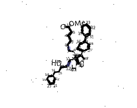 COC(=O)CCC/C=C\C[C@H]1[C@H](/C=C/[C@@H](O)CCc2ccccc2)[C@@H]2C[C@@]1(c1ccc(-c3ccccc3)cc1)CO2